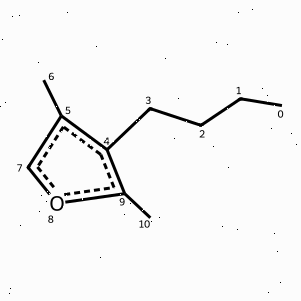 CCCCc1c(C)coc1C